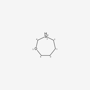 C1CC[SiH2]COC1